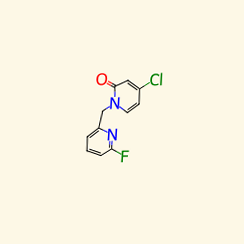 O=c1cc(Cl)ccn1Cc1cccc(F)n1